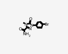 Cn1c(C(N)=O)nn(-c2ccc(Br)cc2)c1=O